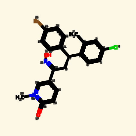 Cc1cc(Cl)ccc1[C@@H](C/C(=N\O)c1ccc(=O)n(C)c1)c1ccc(Br)cc1